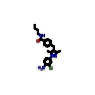 CCCCNC(=O)c1ccc(Cc2c(C)nn(-c3ccc(N)c(Cl)c3)c2C)cc1